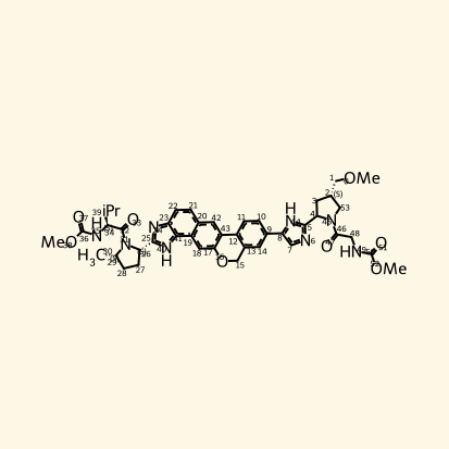 COC[C@H]1CC(c2ncc(-c3ccc4c(c3)COc3cc5c(ccc6nc([C@@H]7CC[C@H](C)N7C(=O)[C@@H](NC(=O)OC)C(C)C)[nH]c65)cc3-4)[nH]2)N(C(=O)CNC(=O)OC)C1